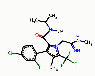 CNC(=N)Cn1c(C(=O)N(C)C(C)C)c(-c2ccc(Cl)cc2F)c(C)c1C(F)(F)F